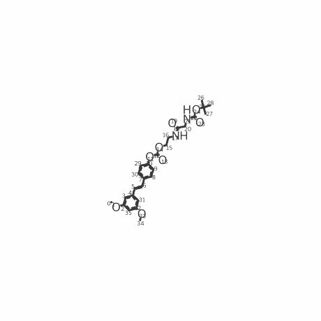 COc1cc(/C=C/c2ccc(OC(=O)OCCNC(=O)CNC(=O)OC(C)(C)C)cc2)cc(OC)c1